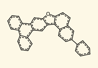 c1ccc(-c2ccc3c(ccc4oc5cc6c7ccccc7c7ccccc7c6cc5c43)c2)cc1